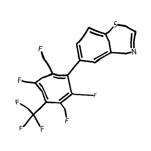 Fc1c(F)c(C(F)(F)F)c(F)c(F)c1-c1ccc2scnc2c1